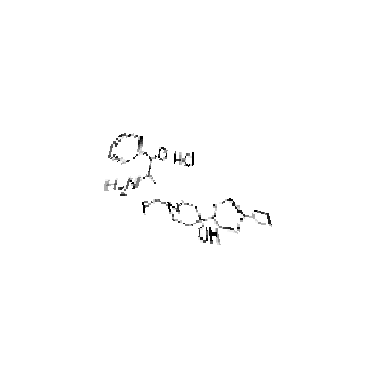 Cl.NC(CC(F)N1CCC(O)(c2ccc(Cl)cc2)CC1)C(=O)c1ccccc1